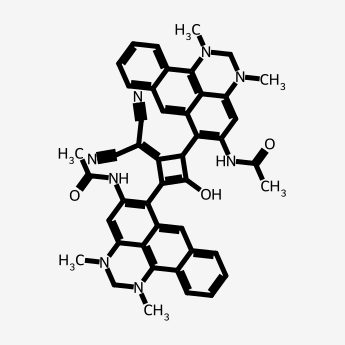 CC(=O)Nc1cc2c3c(c4ccccc4cc3c1C1=C(O)C(c3c(NC(C)=O)cc4c5c(c6ccccc6cc35)N(C)CN4C)C1=C(C#N)C#N)N(C)CN2C